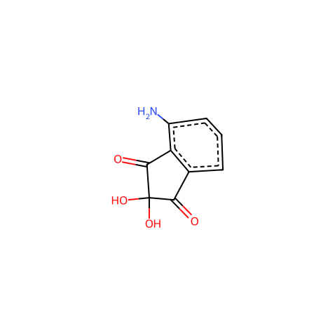 Nc1cccc2c1C(=O)C(O)(O)C2=O